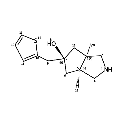 C[C@]12CNC[C@H]1C[C@](O)(Cc1cccs1)C2